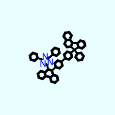 c1ccc(-c2nc(-c3ccccc3)nc(-c3c(-c4ccc(-c5ccc(C6(c7ccccc7)c7ccccc7-c7c6ccc6ccccc76)cc5)cc4)c4ccccc4c4ccccc34)n2)cc1